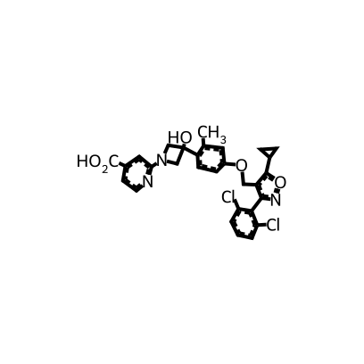 Cc1cc(OCc2c(-c3c(Cl)cccc3Cl)noc2C2CC2)ccc1C1(O)CN(c2cc(C(=O)O)ccn2)C1